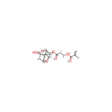 C=C(C)C(=O)OCCC(=O)Oc1c2oc3c1OC(O)(CC2)C3